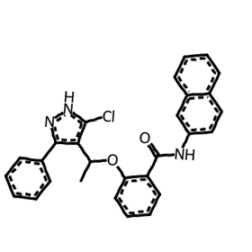 CC(Oc1ccccc1C(=O)Nc1ccc2ccccc2c1)c1c(-c2ccccc2)n[nH]c1Cl